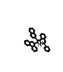 c1ccc(-c2cc3ccccc3c3c(-c4ccc5ccccc5c4)c(-c4cc5ccccc5c5ccccc45)nn23)cc1